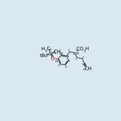 C#CCC[C@H](Cc1cccc(O[Si](C)(C)C(C)(C)C)c1)C(=O)O